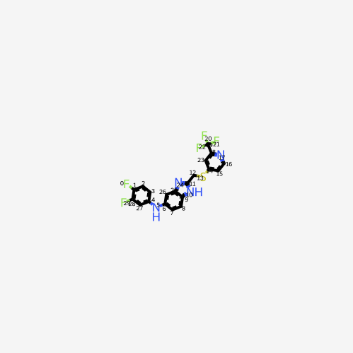 Fc1ccc(Nc2ccc3[nH]c(CSc4ccnc(C(F)(F)F)c4)nc3c2)cc1F